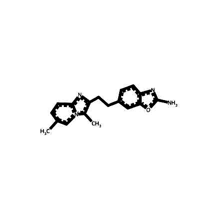 Cc1ccc2nc(CCc3ccc4nc(N)oc4c3)c(C)n2c1